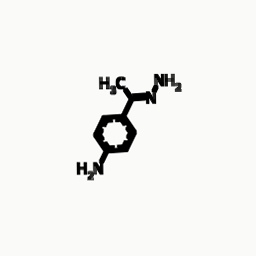 C/C(=N\N)c1ccc(N)cc1